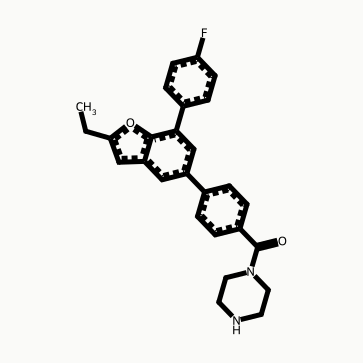 CCc1cc2cc(-c3ccc(C(=O)N4CCNCC4)cc3)cc(-c3ccc(F)cc3)c2o1